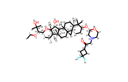 CCO[C@@H]([C@H]1C[C@@H](C)[C@H]2[C@H](O1)[C@H](O)[C@@]1(C)[C@@H]3CC[C@H]4C(C)(C)[C@@H](O[C@H]5CN(CC(=O)C6CC(F)(F)C6)CCO5)CC[C@@]45C[C@@]35CC[C@]21C)C(C)(C)O